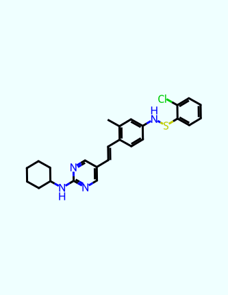 Cc1cc(NSc2ccccc2Cl)ccc1/C=C/c1cnc(NC2CCCCC2)nc1